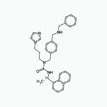 C[C@H](NC(=O)N(CCCn1ccnc1)Cc1ccc(CNCc2ccccc2)cc1)c1cccc2ccccc12